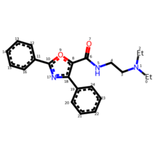 CCN(CC)CCNC(=O)c1oc(-c2ccccc2)nc1-c1ccccc1